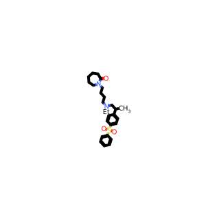 CCN(CCCCN1CCCCCC1=O)CC(C)c1ccc(S(=O)(=O)c2ccccc2)cc1